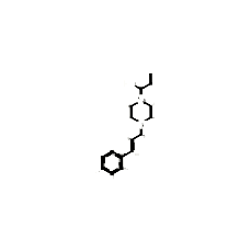 CCC(O)N1CCN(CC=Cc2ccccc2)CC1